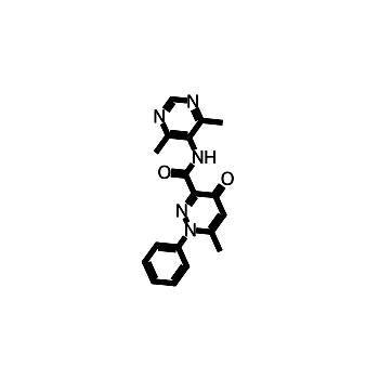 Cc1ncnc(C)c1NC(=O)c1nn(-c2ccccc2)c(C)cc1=O